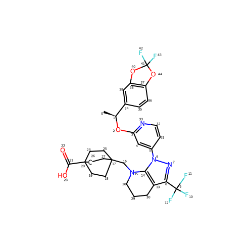 C[C@H](Oc1cc(-n2nc(C(F)(F)F)c3c2N(CC24CCC(C(=O)O)(CC2)CC4)CCC3)ccn1)c1ccc2c(c1)OC(F)(F)O2